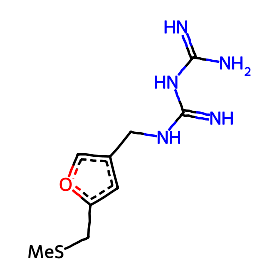 CSCc1cc(CNC(=N)NC(=N)N)co1